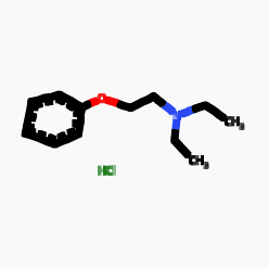 CCN(CC)CCOc1ccccc1.Cl